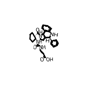 O=C(O)CCNC(=O)N[C@@H]1CCCC[C@@H]1C(=O)N1CC[C@H]2[C@H](c3ccccc3)Nc3ccccc3[C@@H]21